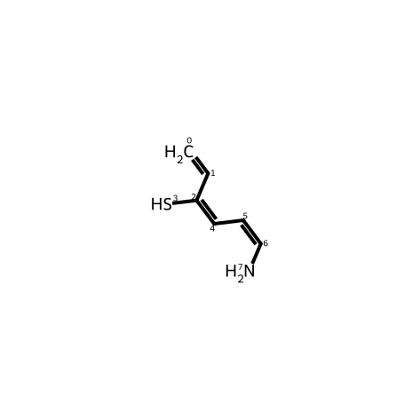 C=C/C(S)=C\C=C/N